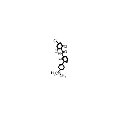 CN(C)C1CC=C(c2cccc(NC(=O)c3c(Cl)cc(Cl)cc3Cl)c2F)CC1